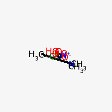 CCCCCCCCCCCCCCCCCCN(C)C.O=[N+]([O-])c1ccc(Cl)c(S(=O)(=O)O)c1